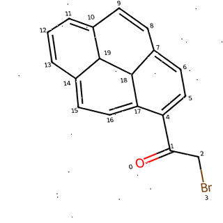 O=C(CBr)C1=CC=C2C=CC3=CC=CC4=CC=C1C2C34